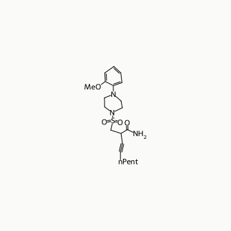 CCCCCC#CC(CS(=O)(=O)N1CCN(c2ccccc2OC)CC1)C(N)=O